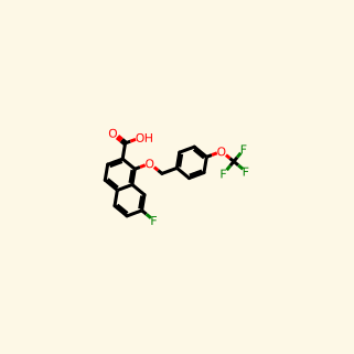 O=C(O)c1ccc2ccc(F)cc2c1OCc1ccc(OC(F)(F)F)cc1